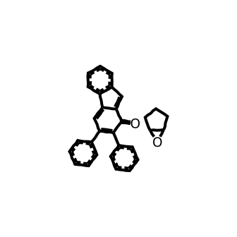 C1CC2OC2C1.O=C1C2=Cc3ccccc3C2=CC(c2ccccc2)=C1c1ccccc1